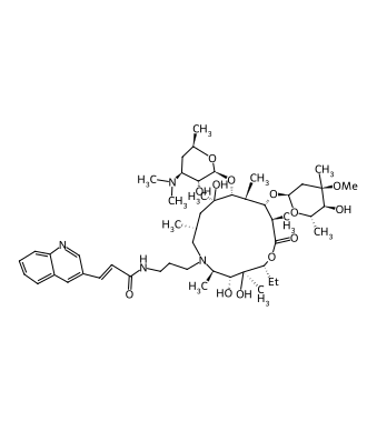 CC[C@H]1OC(=O)[C@H](C)[C@@H](O[C@H]2C[C@@](C)(OC)[C@@H](O)[C@H](C)O2)[C@H](C)[C@@H](O[C@@H]2O[C@H](C)C[C@H](N(C)C)[C@H]2O)[C@](C)(O)C[C@@H](C)CN(CCCNC(=O)/C=C/c2cnc3ccccc3c2)[C@H](C)[C@@H](O)[C@]1(C)O